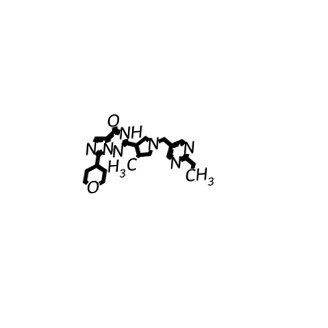 CCc1ncc(CN2CC(C)C(c3nn4c(C5CCOCC5)ncc4c(=O)[nH]3)C2)cn1